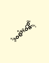 CCn1nnc2c1-c1ccc(O)cc1CCc1cc(OC(=O)N(C)Cc3nnc(-c4ccc(NC)cc4)nn3)ccc1-2